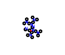 c1ccc(N(c2ccccc2)c2ccc3c(c2)c2cc(N(c4ccccc4)c4ccccc4)ccc2n3-c2cc(-c3cccc(-c4ccccn4)c3)c(-n3c4ccc(N(c5ccccc5)c5ccccc5)cc4c4cc(N(c5ccccc5)c5ccccc5)ccc43)cn2)cc1